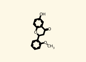 COc1ccccc1C1CC(=O)c2cc(O)ccc2O1